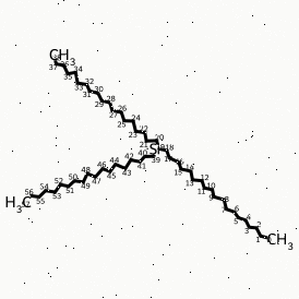 CCCCCCCCCCCCCCCCCCC[Si](CCCCCCCCCCCCCCCCCCC)CCCCCCCCCCCCCCCCCCC